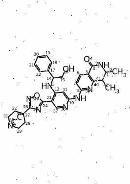 CC1NC(=O)c2ccc(Nc3cc(N[C@H](CO)c4ccccc4)c(-c4nc(C56CCN(CC5)CC6)no4)cn3)nc2C1C